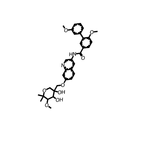 COc1cccc(-c2cc(C(=O)Nc3cnc4cc(OCC5(O)COC(C)(C)C(OC)C5O)ccc4c3)ccc2OC)c1